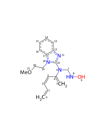 C=C/C=C\C(=C)N(CNO)c1nc2ccccc2n1CCOC